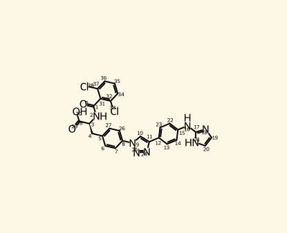 O=C(N[C@@H](Cc1ccc(-n2cc(-c3ccc(Nc4ncc[nH]4)cc3)nn2)cc1)C(=O)O)c1c(Cl)cccc1Cl